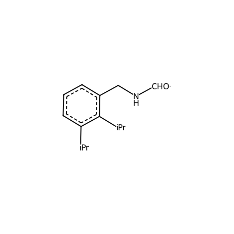 CC(C)c1cccc(CN[C]=O)c1C(C)C